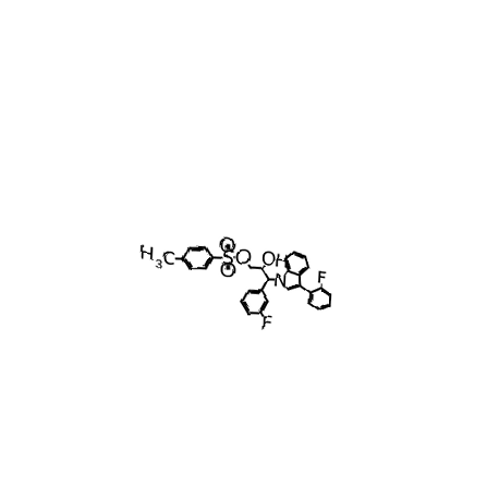 Cc1ccc(S(=O)(=O)OCC(O)C(c2cccc(F)c2)n2cc(-c3ccccc3F)c3ccccc32)cc1